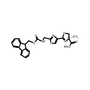 COC(=O)[C@]1(C)COC(c2coc(CNC(=O)OCC3c4ccccc4-c4ccccc43)n2)=N1